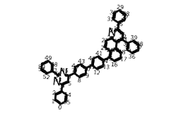 c1ccc(-c2cc(-c3ccc(-c4ccc(-c5cccc6c5ccc5nc(-c7ccccc7)cc(-c7ccccc7)c56)cc4)cc3)nc(-c3ccccc3)n2)cc1